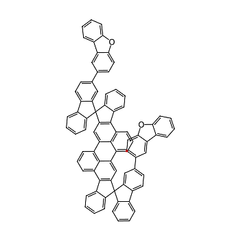 c1ccc2c(c1)-c1ccc(-c3ccc4oc5ccccc5c4c3)cc1C21c2ccccc2-c2c1cc1c3cccc4c5c(cc(c6cccc2c61)c43)C1(c2ccccc2-c2ccc(-c3ccc4oc6ccccc6c4c3)cc21)c1ccccc1-5